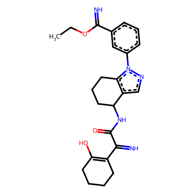 CCOC(=N)c1cccc(-n2ncc3c2CCCC3NC(=O)C(=N)C2=C(O)CCCC2)c1